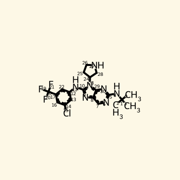 CC(C)(C)Nc1ncc2nc(Nc3cc(Cl)cc(C(F)(F)F)c3)n(C3CCNC3)c2n1